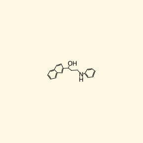 OC(CCNc1ccccc1)c1ccc2ccccc2c1